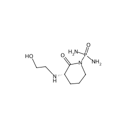 NP(N)(=O)N1CCC[C@H](NCCO)C1=O